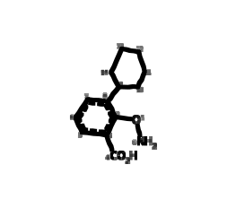 NOc1c(C(=O)O)cccc1C1CCCCC1